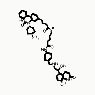 CN(CCCCC(=O)Nc1ccc(CNCC(O)c2ccc(O)c3[nH]c(=O)ccc23)cc1)C(=O)CCCc1ccc(-c2ccccc2)c(N(C(=O)O)[C@H]2CC[C@H](N)CC2)c1